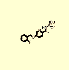 C[C@@H](N[S+]([O-])C(C)(C)C)c1ccc(OCc2ccccc2F)cn1